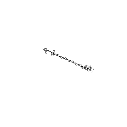 CC(C)(C)OC(=O)NCCOCCOCCOCCOCCOCCOCCOCCNC(=O)CCCCC(=O)O